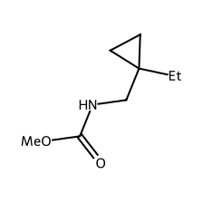 CCC1(CNC(=O)OC)CC1